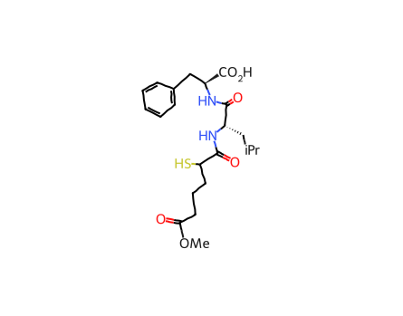 COC(=O)CCCC(S)C(=O)N[C@@H](CC(C)C)C(=O)N[C@@H](Cc1ccccc1)C(=O)O